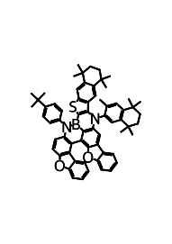 Cc1cc2c(cc1N1c3cc4c(oc5ccccc54)c4c3B(c3sc5cc6c(cc5c31)C(C)(C)CCC6(C)C)N(c1ccc(C(C)(C)C)cc1)c1ccc3oc5ccccc5c3c1-4)C(C)(C)CCC2(C)C